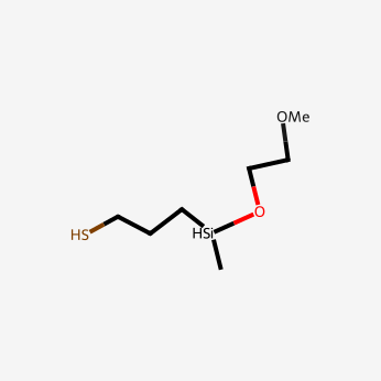 COCCO[SiH](C)CCCS